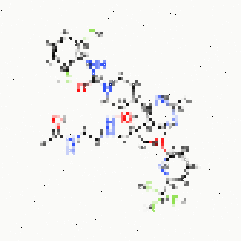 CC(=O)NCCNCC(O)(COc1cccc(C(F)(F)F)n1)c1cnc(C)nc1C1CCN(C(=O)Nc2c(F)cccc2F)CC1